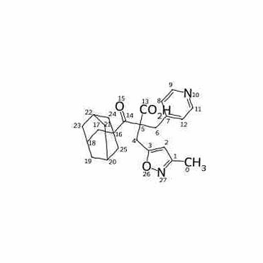 Cc1cc(CC(Cc2ccncc2)(C(=O)O)C(=O)C23CC4CC(CC(C4)C2)C3)on1